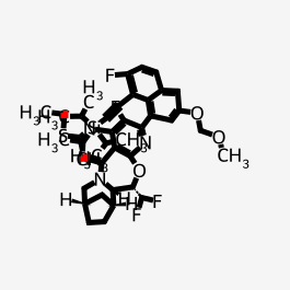 CCSc1nc2c3c(nc(-c4cc(OCOC)cc5ccc(F)c(C#C[Si](C(C)C)(C(C)C)C(C)C)c45)c(F)c3n1)O[C@H](C(F)F)[C@@H]1[C@@H]3CC[C@@H](C3)CN21